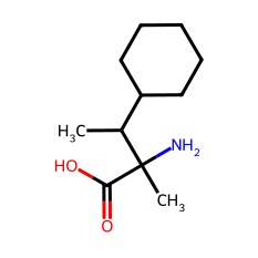 CC(C1CCCCC1)C(C)(N)C(=O)O